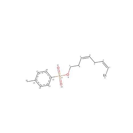 CC/C=C\C/C=C\CCOS(=O)(=O)c1ccc(C)cc1